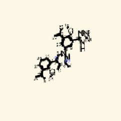 C=C/C(=C\N(/N=C/C)c1cc(-c2nnn[nH]2)c(OC)c(C(C)C)c1)c1cccc(C(C)C)c1OC